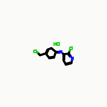 Cl.ClCC1=CCC(=Nc2cccnc2Cl)C=C1